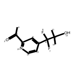 CC(=O)c1cc(C(F)(F)C(C)(C)O)ccn1